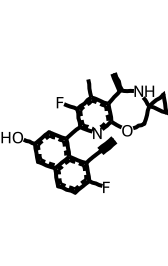 C#Cc1c(F)ccc2cc(O)cc(-c3nc4c(c(C)c3F)C(=C)NC3(CC3)CO4)c12